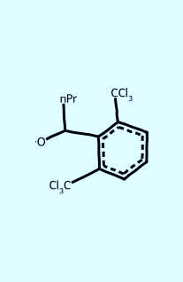 CCCC([O])c1c(C(Cl)(Cl)Cl)cccc1C(Cl)(Cl)Cl